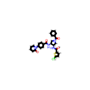 O=C(N[C@H]1CN(C(=O)c2ccccc2)C[C@H]1NC(=O)c1ccc(Cl)s1)c1ccc(-n2ccccc2=O)cc1